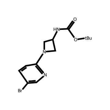 CC(C)(C)OC(=O)NC1CN(c2ccc(Br)cn2)C1